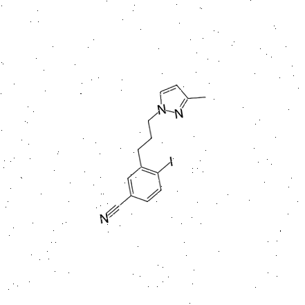 Cc1ccn(CCCc2cc(C#N)ccc2I)n1